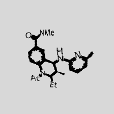 CCC1[C@H](C)C(Nc2cccc(C)n2)c2cc(C(=O)NC)ccc2N1C(C)=O